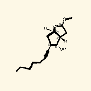 CCCCCC#C[C@H]1C[C@@H]2O[C@@H](OC)C[C@@H]2[C@@H]1O